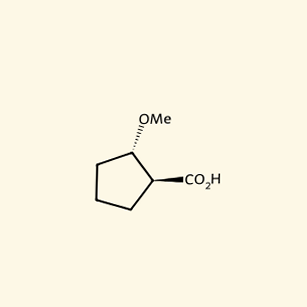 CO[C@H]1CCC[C@@H]1C(=O)O